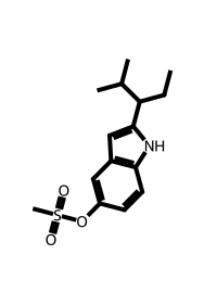 CCC(c1cc2cc(OS(C)(=O)=O)ccc2[nH]1)C(C)C